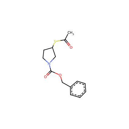 CC(=O)SC1CCN(C(=O)OCc2ccccc2)C1